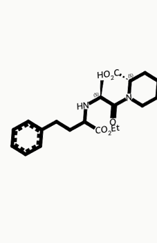 CCOC(=O)C(CCc1ccccc1)N[C@@H](C)C(=O)N1CCCC[C@H]1C(=O)O